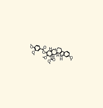 COC(=O)[C@H]1[C@H]2C[C@@H]3c4[nH]c5cc(OC)ccc5c4CCN3C[C@H]2C[C@@H](OC(=O)c2ccc(OC)c(OC)c2)[C@@H]1OC